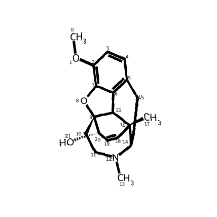 COc1ccc2c3c1O[C@@]14CCN(C)C(C2)[C@](C)(C=C[C@@H]1O)C34